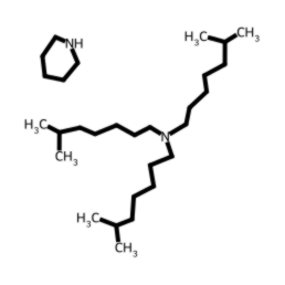 C1CCNCC1.CC(C)CCCCCN(CCCCCC(C)C)CCCCCC(C)C